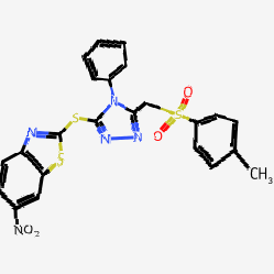 Cc1ccc(S(=O)(=O)Cc2nnc(Sc3nc4ccc([N+](=O)[O-])cc4s3)n2-c2ccccc2)cc1